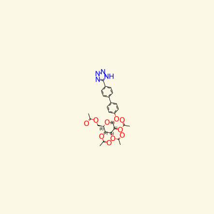 CC(=O)OC[C@H]1O[C@H](Oc2ccc(-c3ccc(-c4nnn[nH]4)cc3)cc2)[C@@H](OC(C)=O)[C@@H](OC(C)=O)[C@@H]1OC(C)=O